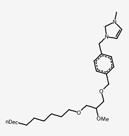 CCCCCCCCCCCCCCCCOCC(COCc1ccc(CN2[CH]N(C)C=C2)cc1)OC